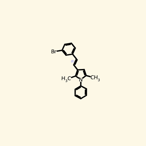 Cc1cc(/C=C/c2cccc(Br)c2)c(C)n1-c1ccccc1